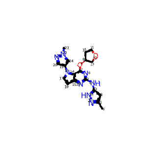 Cc1cc(Nc2nc(O[C@H]3CCOC3)c3c(ccn3-c3cnn(C)c3)n2)[nH]n1